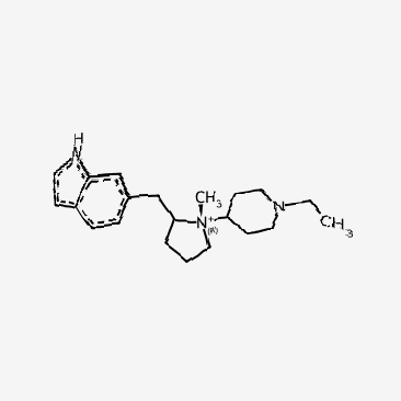 CCN1CCC([N@+]2(C)CCCC2Cc2ccc3cc[nH]c3c2)CC1